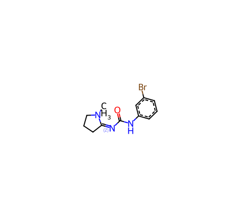 CN1CCC/C1=N/C(=O)Nc1cccc(Br)c1